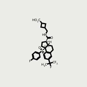 CC(F)(c1ccc2c(c1)CC[C@H]1[C@H](C(=O)NCC3CC(C(=O)O)C3)CC[C@@]21S(=O)(=O)c1ccc(F)cc1)C(F)(F)F